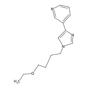 CCOCCCCn1cnc(-c2cccnc2)c1